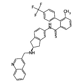 Cc1cccc(C(=S)Nc2ccc3c(c2)C[C@@H](NCc2cnc4ccccc4c2)C3)c1-c1ccc(C(F)(F)F)cc1